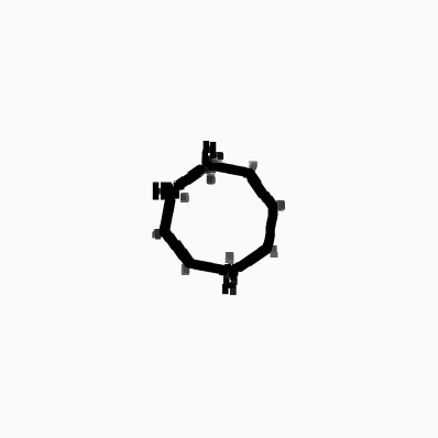 C1CNCCN[SiH2]C1